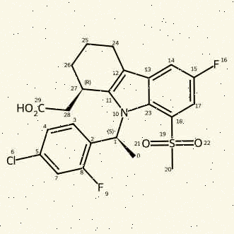 C[C@@H](c1ccc(Cl)cc1F)n1c2c(c3cc(F)cc(S(C)(=O)=O)c31)CCC[C@@H]2CC(=O)O